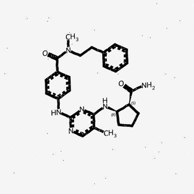 Cc1cnc(Nc2ccc(C(=O)N(C)CCc3ccccc3)cc2)nc1N[C@@H]1CCC[C@@H]1C(N)=O